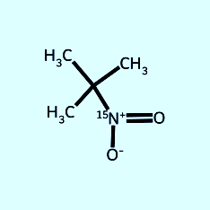 CC(C)(C)[15N+](=O)[O-]